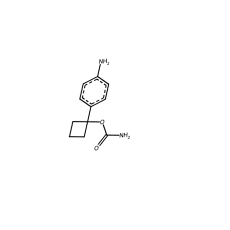 NC(=O)OC1(c2ccc(N)cc2)CCC1